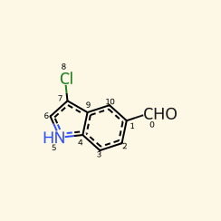 O=Cc1ccc2[nH]cc(Cl)c2c1